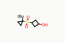 CC(C)(C)C1(S(=O)(=O)C2CC(O)C2)CC1